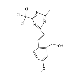 COc1ccc(C=Cc2nc(C)nc(C(Cl)(Cl)Cl)n2)c(CO)c1